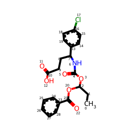 CCC(OC(=O)NC(CCC(=O)O)c1ccc(Cl)cc1)OC(=O)c1ccccc1